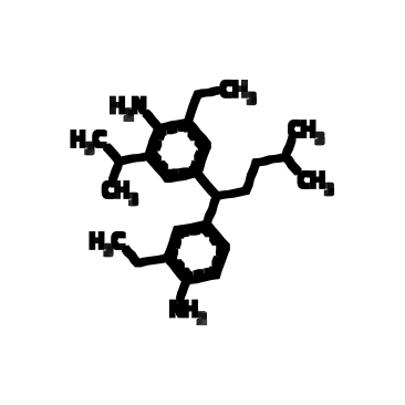 CCc1cc(C(CCC(C)C)c2cc(CC)c(N)c(C(C)C)c2)ccc1N